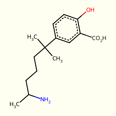 CC(N)CCCC(C)(C)c1ccc(O)c(C(=O)O)c1